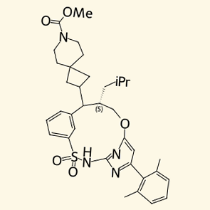 COC(=O)N1CCC2(CC1)CC(C1c3cccc(c3)S(=O)(=O)Nc3nc(cc(-c4c(C)cccc4C)n3)OC[C@H]1CC(C)C)C2